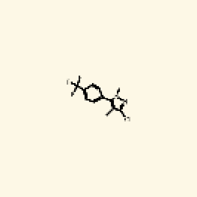 Cc1c(Cl)nn(C)c1-c1ccc(C(F)(F)F)cc1